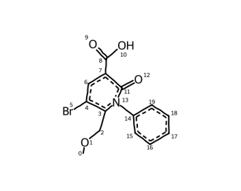 COCc1c(Br)cc(C(=O)O)c(=O)n1-c1ccccc1